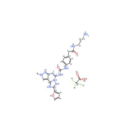 Cn1cc2c(nc(NC(=O)Nc3ccc(CC(=O)NCCCN)cc3)n3nc(-c4ccco4)nc23)n1.O=C(O)C(F)(F)F